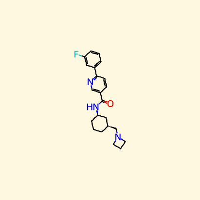 O=C(N[C@@H]1CCC[C@H](CN2CCC2)C1)c1ccc(-c2cccc(F)c2)nc1